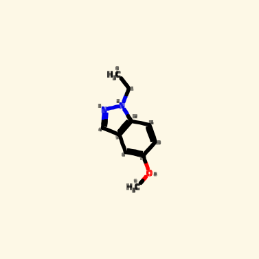 CCn1ncc2cc(OC)ccc21